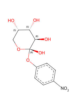 O=[N+]([O-])c1ccc(O[C@]2(O)OC[C@H](O)[C@H](O)[C@H]2O)cc1